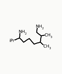 CC(C)C(N)CCCC(C)C(C)CN